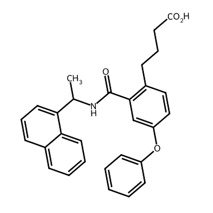 CC(NC(=O)c1cc(Oc2ccccc2)ccc1CCCC(=O)O)c1cccc2ccccc12